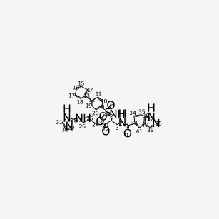 O=C(NCC(NS(=O)(=O)c1ccc(-c2ccccc2)cc1)C(=O)OCCCNc1ncc[nH]1)c1ccc2[nH]ncc2c1